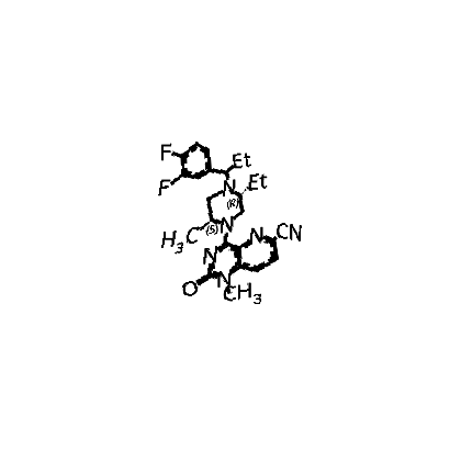 CCC(c1ccc(F)c(F)c1)N1C[C@H](C)N(c2nc(=O)n(C)c3ccc(C#N)nc23)C[C@H]1CC